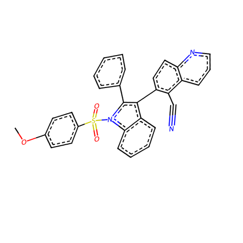 COc1ccc(S(=O)(=O)n2c(-c3ccccc3)c(-c3ccc4ncccc4c3C#N)c3ccccc32)cc1